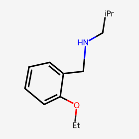 CCOc1ccccc1CNCC(C)C